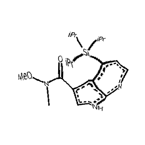 CON(C)C(=O)c1c[nH]c2nccc([Si](C(C)C)(C(C)C)C(C)C)c12